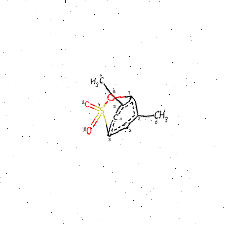 Cc1cc2cc(C)c1OS2(=O)=O